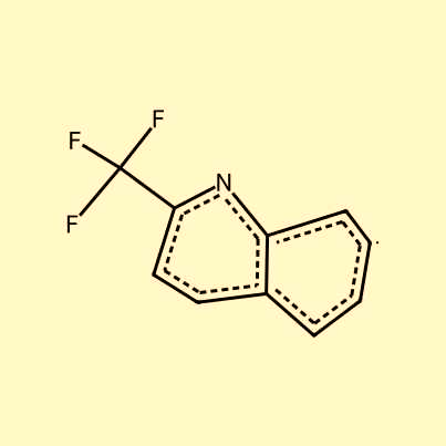 FC(F)(F)c1ccc2cc[c]cc2n1